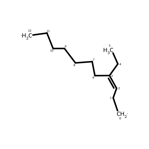 [CH2]CC=C(CC)CCCCCC[CH2]